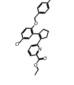 CCOC(=O)c1cccc(C2=C(c3cc(Cl)ccc3OCc3ccc(C)cc3)CCC2)n1